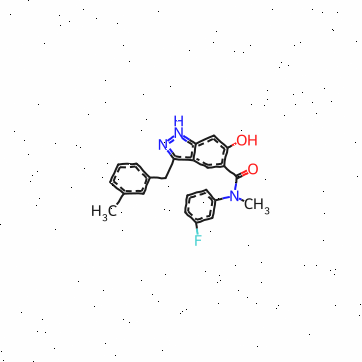 Cc1cccc(Cc2n[nH]c3cc(O)c(C(=O)N(C)c4cccc(F)c4)cc23)c1